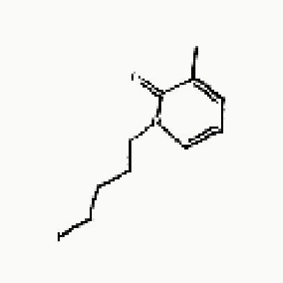 Cc1cccn(CCCCI)c1=O